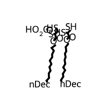 CCCCCCCCCCCCCCCCCCCCCCOC(=O)C(CS)SOC(=O)O.CCCCCCCCCCCCCCCCCCCCCCOC(=O)C(S)CS